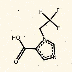 O=C(O)c1cncn1CC(F)(F)F